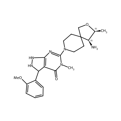 COc1ccccc1C1NNc2nc(N3CCC4(CC3)CO[C@@H](C)[C@H]4N)n(C)c(=O)c21